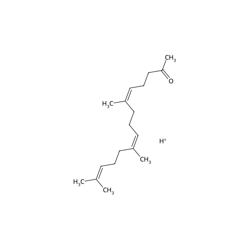 CC(=O)CCC=C(C)CCC=C(C)CCC=C(C)C.[H+]